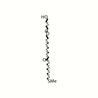 CSCSCSCSCSC(=O)CSCSCSCSCCOOCCSCCO